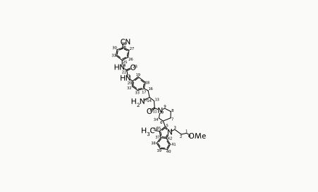 COCCCn1c(C2CCCN(C(=O)CC(N)Cc3ccc(NC(=O)Nc4ccc(C#N)cc4)cc3)C2)c(C)c2ccccc21